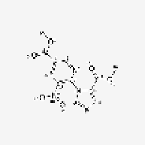 COC(=O)c1cnc(-n2cccc2C(=O)OC)c([N+](=O)[O-])c1